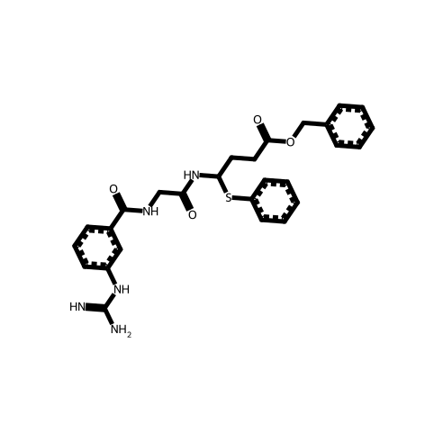 N=C(N)Nc1cccc(C(=O)NCC(=O)NC(CCC(=O)OCc2ccccc2)Sc2ccccc2)c1